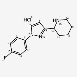 Cl.Fc1ccc(-n2ccc(C3CCCCN3)n2)cc1